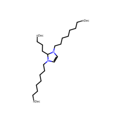 CCCCCCCCCCCCCCCCCN1C=CN(CCCCCCCCCCCCCCCCC)C1CCCCCCCCCCCCC